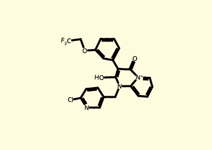 O=c1c(-c2cccc(OCC(F)(F)F)c2)c(O)n(Cc2ccc(Cl)nc2)c2cccc[n+]12